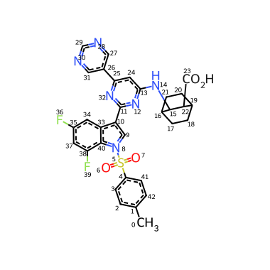 Cc1ccc(S(=O)(=O)n2cc(-c3nc(NC4C5CCC(CC5)C4C(=O)O)cc(-c4cncnc4)n3)c3cc(F)cc(F)c32)cc1